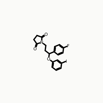 O=C1CCC(=O)N1CCC(Oc1cccc(I)c1)c1ccc(F)cc1